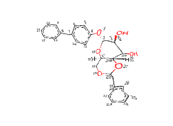 O[C@@H]1[C@@H](Oc2ccc(-c3ccccc3)cc2)O[C@@H]2COC(c3ccccc3)O[C@H]2[C@@H]1O